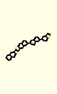 c1ccc2cc3c(cc2c1)sc1c2cc4cc(-c5ccc6cc(-c7ccc8sccc8c7)ccc6c5)ccc4cc2sc31